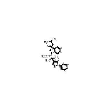 C=C(C)CC(O)(CCN(C(=O)O)C(C)(C)c1cn(-c2ccccc2)nn1)c1ccccc1